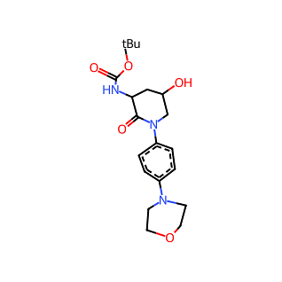 CC(C)(C)OC(=O)NC1CC(O)CN(c2ccc(N3CCOCC3)cc2)C1=O